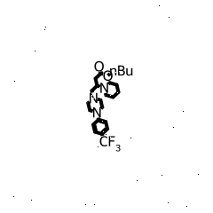 CCCCOC(=O)CC(CN1CCN(c2ccc(C(F)(F)F)cc2)CC1)N1CCCCC1